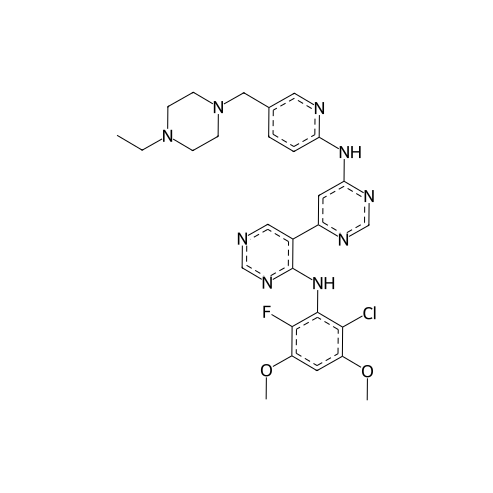 CCN1CCN(Cc2ccc(Nc3cc(-c4cncnc4Nc4c(F)c(OC)cc(OC)c4Cl)ncn3)nc2)CC1